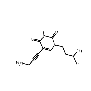 CCC(O)CCn1cc(C#CCN)c(=O)[nH]c1=O